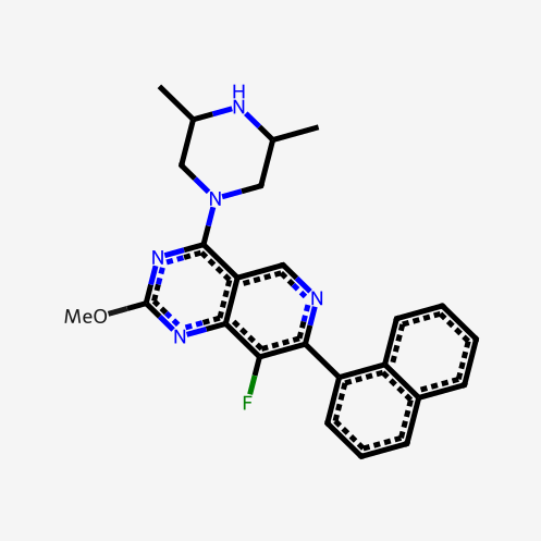 COc1nc(N2CC(C)NC(C)C2)c2cnc(-c3cccc4ccccc34)c(F)c2n1